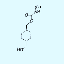 CC(C)(C)NC(=O)OC[C@H]1CC[C@H](CO)CC1